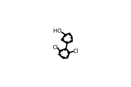 Oc1cccc(-c2c(Cl)[c]ccc2Cl)c1